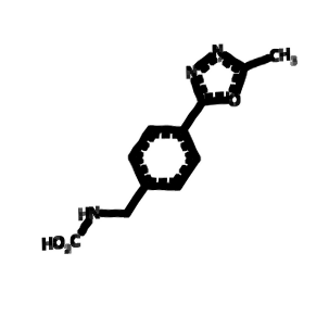 Cc1nnc(-c2ccc(CNC(=O)O)cc2)o1